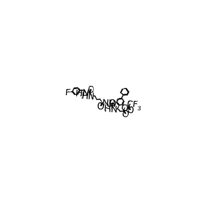 O=C(CCCNC(=O)NCc1ccc(F)cc1)NCC(=O)NC(CC(=O)OC(=O)C(F)(F)F)c1ccc(-c2ccccc2)cc1